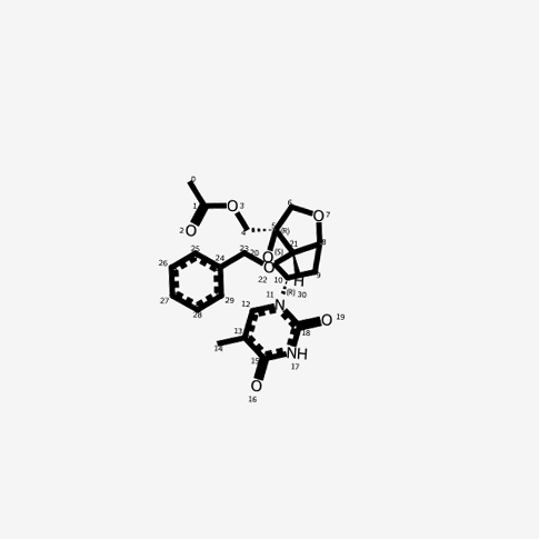 CC(=O)OC[C@@]12COC(C[C@H](n3cc(C)c(=O)[nH]c3=O)O1)[C@@H]2OCc1ccccc1